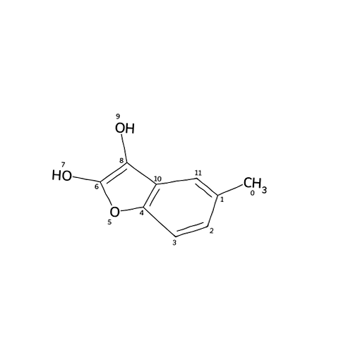 Cc1ccc2oc(O)c(O)c2c1